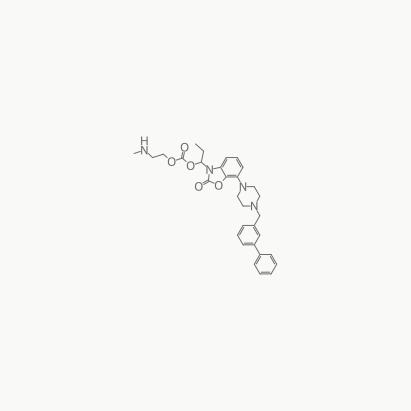 CCC(OC(=O)OCCNC)n1c(=O)oc2c(N3CCN(Cc4cccc(-c5ccccc5)c4)CC3)cccc21